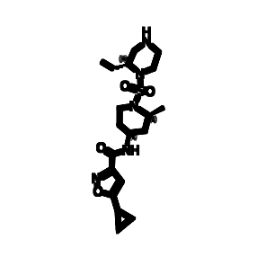 CC[C@@H]1CNCCN1S(=O)(=O)N1CC[C@H](NC(=O)c2cc(C3CC3)on2)C[C@@H]1C